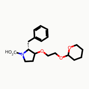 O=C(O)N1CCC(OCCOC2CCCCO2)[C@H]1Cc1ccccc1